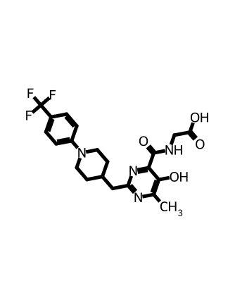 Cc1nc(CC2CCN(c3ccc(C(F)(F)F)cc3)CC2)nc(C(=O)NCC(=O)O)c1O